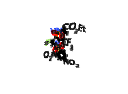 CCOC(=O)[C@H](C)NP(=O)(CCN(CCF)S(=O)(=O)c1ccc([N+](=O)[O-])cc1[N+](=O)[O-])OCC(F)(F)F